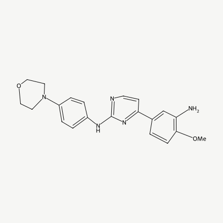 COc1ccc(-c2ccnc(Nc3ccc(N4CCOCC4)cc3)n2)cc1N